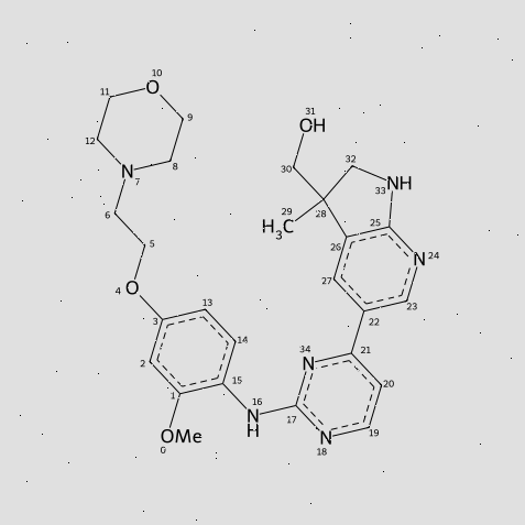 COc1cc(OCCN2CCOCC2)ccc1Nc1nccc(-c2cnc3c(c2)C(C)(CO)CN3)n1